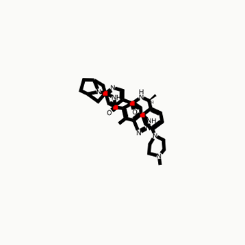 Cc1c(C(=O)NC2CC3CCC(C2)N3c2ccc(C(=O)N[C@@H](C)c3ccc(N4CCN(C)CC4)cc3)cn2)ccc2[nH]nnc12